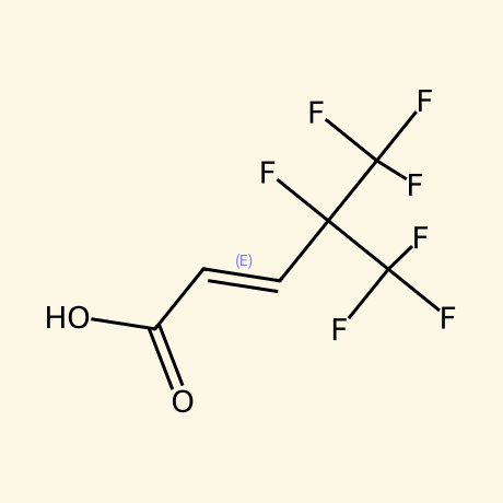 O=C(O)/C=C/C(F)(C(F)(F)F)C(F)(F)F